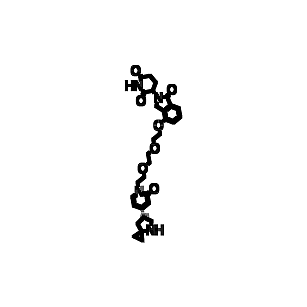 O=C1CCC(N2Cc3c(OCCOCCOCCn4ccc([C@@H]5CNC6(CC6)C5)cc4=O)cccc3C2=O)C(=O)N1